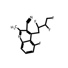 Cc1nc2cccc(F)c2c(CC(F)C(F)CF)c1C#N